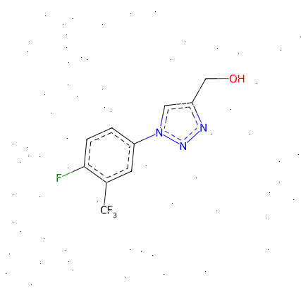 OCc1cn(-c2ccc(F)c(C(F)(F)F)c2)nn1